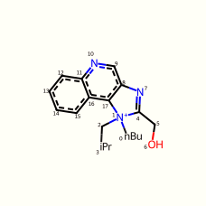 CCCC[N+]1(CC(C)C)C(CO)=Nc2cnc3ccccc3c21